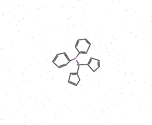 C1=CC[C]([Ni]([C]2=CC=CC2)[P](c2ccccc2)c2ccccc2)=C1